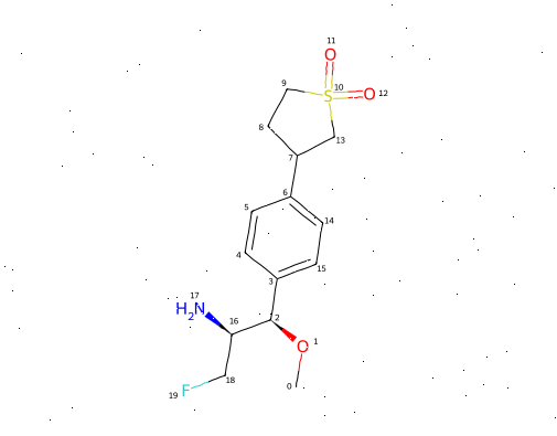 CO[C@H](c1ccc(C2CCS(=O)(=O)C2)cc1)[C@H](N)CF